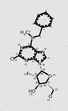 CN(Cc1ccccc1)c1nc(Cl)nc2c1ncn2[C@@H]1O[C@H](C[O])[C@@H](O)[C@@H]1F